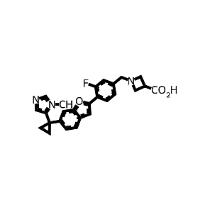 Cn1cncc1C1(c2ccc3cc(-c4ccc(CN5CC(C(=O)O)C5)cc4F)oc3c2)CC1